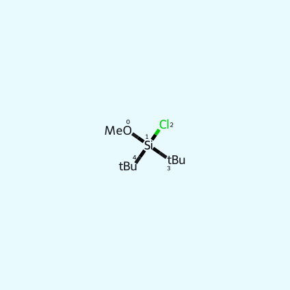 CO[Si](Cl)(C(C)(C)C)C(C)(C)C